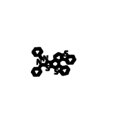 c1ccc(-c2nc(-c3ccccc3)c3sc4c5sc6ccccc6c5c5c(ccc6sc7ccccc7c65)c4c3n2)cc1